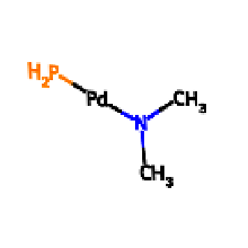 C[N](C)[Pd][PH2]